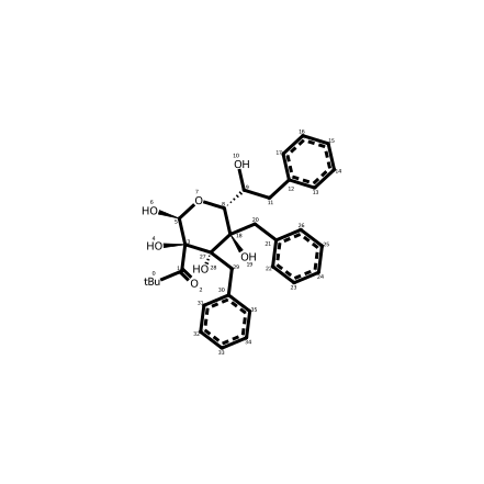 CC(C)(C)C(=O)[C@]1(O)[C@@H](O)O[C@H](C(O)Cc2ccccc2)[C@](O)(Cc2ccccc2)[C@@]1(O)Cc1ccccc1